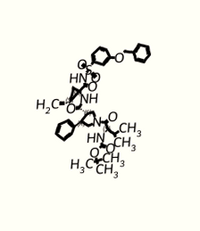 C=C[C@@H]1C[C@]1(NC(=O)[C@@H]1CN(C(=O)[C@@H](NC(=O)OC(C)(C)C)C(C)C)C[C@H]1c1ccccc1)C(=O)NS(=O)(=O)c1cccc(OCc2ccccc2)c1